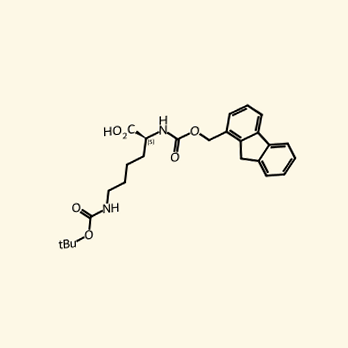 CC(C)(C)OC(=O)NCCCC[C@H](NC(=O)OCc1cccc2c1Cc1ccccc1-2)C(=O)O